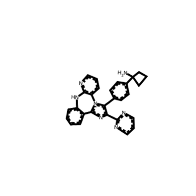 NC1(c2ccc(-c3c(-c4ncccn4)nc4n3-c3cccnc3Nc3ccccc3-4)cc2)CCC1